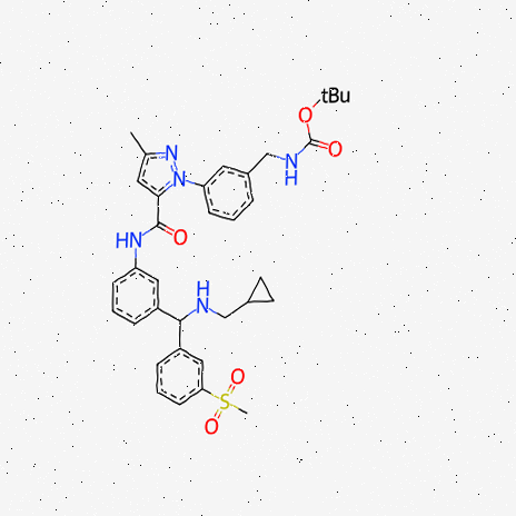 Cc1cc(C(=O)Nc2cccc(C(NCC3CC3)c3cccc(S(C)(=O)=O)c3)c2)n(-c2cccc(CNC(=O)OC(C)(C)C)c2)n1